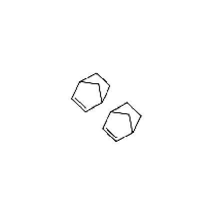 C1=CC2CCC1C2.C1=CC2CCC1C2